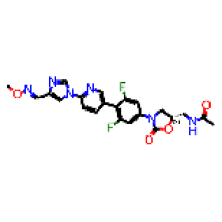 CON=Cc1cn(-c2ccc(-c3c(F)cc(N4C[C@H](CNC(C)=O)OC4=O)cc3F)cn2)cn1